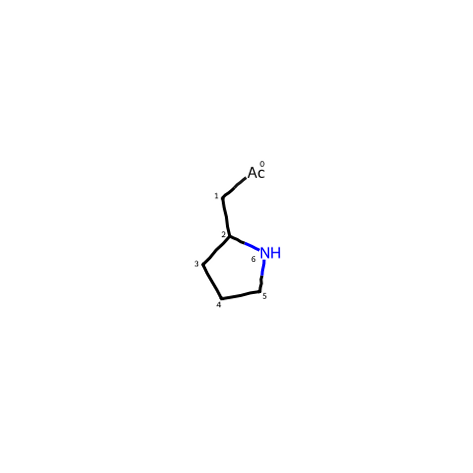 [CH2]C(=O)CC1CCCN1